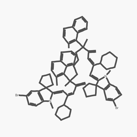 C=C(/C=C(\C=C1N(C)c2ccc(Br)cc2C12CCCC2)C1CCCCC1)C(C)(CCCCC(C)(C(=C)/C=C(/C=C1N(C)c2ccc(Br)cc2C12CCCC2)C1CCCCC1)c1c(C)ccc2ccccc12)c1c(C)ccc2ccccc12